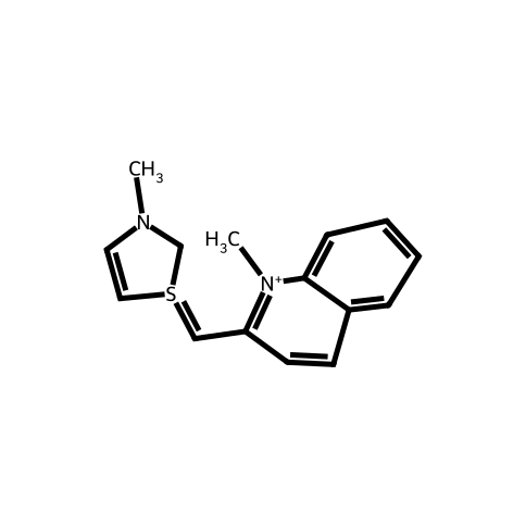 CN1C=CS(=Cc2ccc3ccccc3[n+]2C)C1